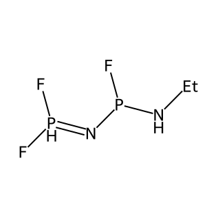 CCNP(F)N=[PH](F)F